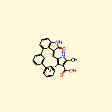 Cc1[nH]c(/C=C2\C(=O)Nc3cccc(-c4cccc(-c5ccccc5)c4)c32)c(C)c1C(=O)O